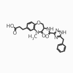 CN1C(=O)C(NC(=O)c2n[nH]c(Cc3ccccc3)n2)COc2ccc(CCC(=O)O)cc21